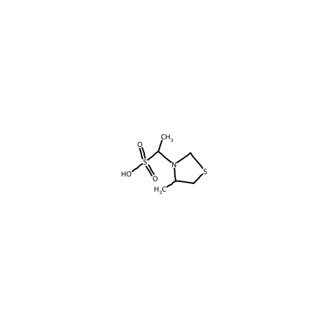 CC1CSCN1C(C)S(=O)(=O)O